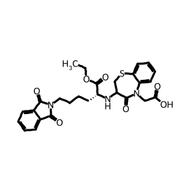 CCOC(=O)[C@@H](CCCCN1C(=O)c2ccccc2C1=O)NC1CSc2ccccc2N(CC(=O)O)C1=O